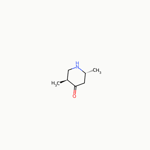 C[C@@H]1CC(=O)[C@@H](C)CN1